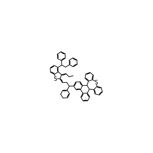 CC/C=c1\c(=C/CC(C2=CCCC=C2)c2ccc3c(c2)-c2ccccc2C2c4ccccc4Sc4ccccc4C32)sc2cccc(C(Cc3ccccc3)c3ccccc3)c12